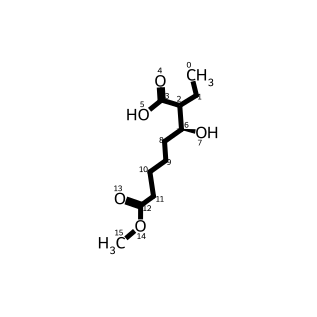 CCC(C(=O)O)[C@@H](O)CCCCC(=O)OC